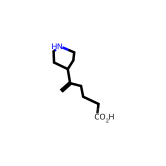 C=C(CCCC(=O)O)C1CCNCC1